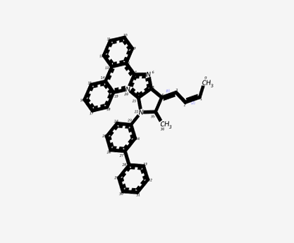 C/C=C\C=C1\c2nc3c4ccccc4c4ccccc4n3c2N(c2cccc(-c3ccccc3)c2)C1C